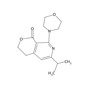 CC(C)c1cc2c(c(N3CCOCC3)n1)C(=O)OCC2